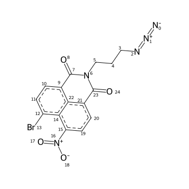 [N-]=[N+]=NCCCN1C(=O)c2ccc(Br)c3c([N+](=O)[O-])ccc(c23)C1=O